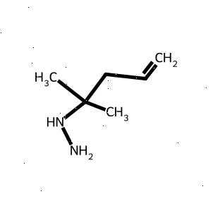 C=CCC(C)(C)NN